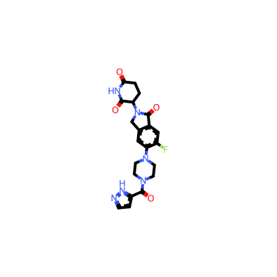 O=C1CCC(N2Cc3cc(N4CCN(C(=O)c5ccn[nH]5)CC4)c(F)cc3C2=O)C(=O)N1